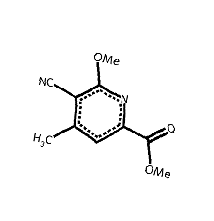 COC(=O)c1cc(C)c(C#N)c(OC)n1